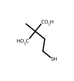 CC(CCS)(C(=O)O)C(=O)O